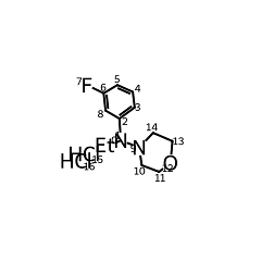 CCN(c1cccc(F)c1)N1CCOCC1.Cl.Cl